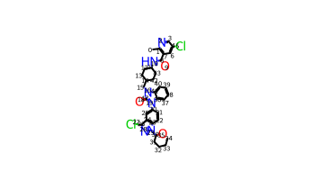 Cc1ncc(Cl)cc1C(=O)NC1CCC(Cn2c(=O)n(-c3ccc4c(c3)c(Cl)nn4C3CCCCO3)c3ccccc32)CC1